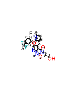 Cn1c(=O)n(CCCO)c(=O)c2c(Cc3ccc(C(F)(F)F)nc3)c(Oc3cccc(C(C)(F)F)c3)cnc21